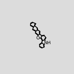 c1ccc2cc3cc4c(cc3cc2c1)oc1c4ccc2[nH]c3ccccc3c21